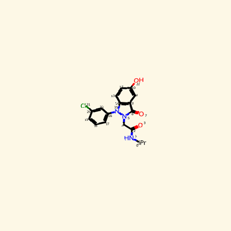 CC(C)NC(=O)Cn1c(=O)c2cc(O)ccc2n1-c1cccc(Cl)c1